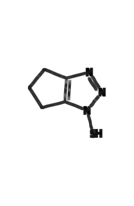 Sn1nnc2c1CCC2